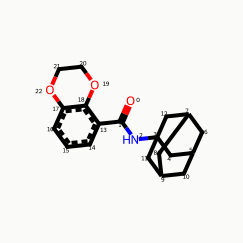 O=C(NC12CC3CC(CC(C3)C1)C2)c1cccc2c1OCCO2